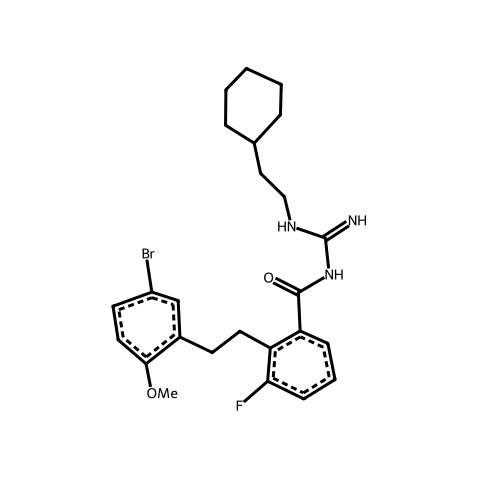 COc1ccc(Br)cc1CCc1c(F)cccc1C(=O)NC(=N)NCCC1CCCCC1